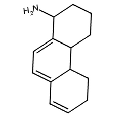 NC1CCCC2C1=CC=C1C=CCCC12